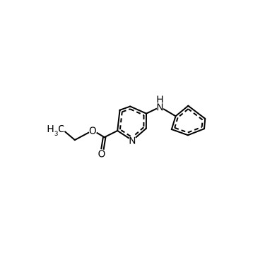 CCOC(=O)c1ccc(Nc2ccccc2)cn1